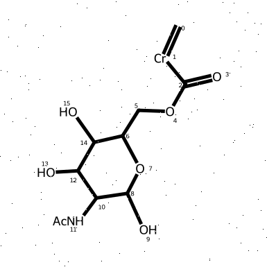 [CH2]=[Cr][C](=O)OCC1OC(O)C(NC(C)=O)C(O)C1O